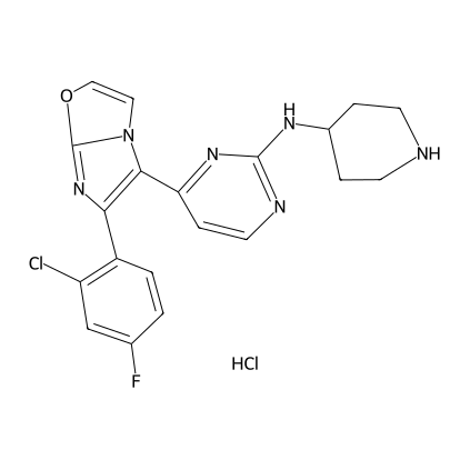 Cl.Fc1ccc(-c2nc3occn3c2-c2ccnc(NC3CCNCC3)n2)c(Cl)c1